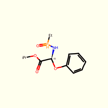 CC[PH](=O)N[C@@H](Oc1ccccc1)C(=O)OC(C)C